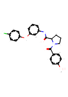 O=C(Nc1cccc(Oc2ccc(Cl)cc2)c1)C1CCCN1C(=O)c1ccc(O)cc1